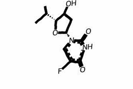 CC(C)[C@H]1O[C@@H](n2cc(F)c(=O)[nH]c2=O)CC1O